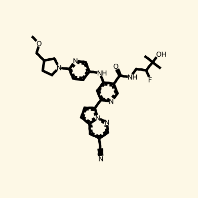 COCC1CCN(c2ccc(Nc3cc(-c4ccc5cc(C#N)cnn45)ncc3C(=O)NCC(F)C(C)(C)O)cn2)C1